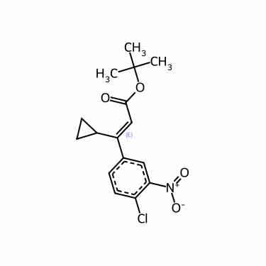 CC(C)(C)OC(=O)/C=C(/c1ccc(Cl)c([N+](=O)[O-])c1)C1CC1